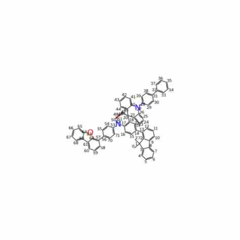 CC1(C)c2ccccc2-c2cccc(-c3ccc4c(c3)C3(c5ccccc5N(c5ccc(-c6ccccc6)cc5)c5ccccc53)c3ccccc3N4c3ccc(-c4cccc5c4oc4ccccc45)cc3)c21